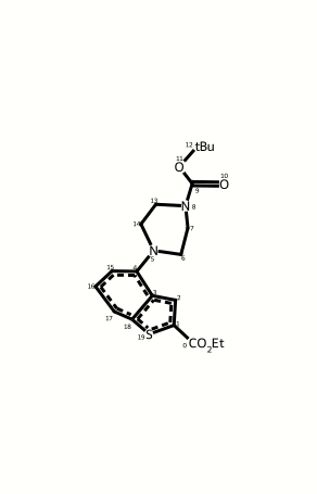 CCOC(=O)c1cc2c(N3CCN(C(=O)OC(C)(C)C)CC3)cccc2s1